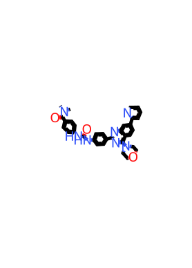 CN(C)C(=O)c1ccc(NC(=O)Nc2ccc(-c3nc(N4CCOCC4)c4ccc(-c5ccccn5)cc4n3)cc2)cc1